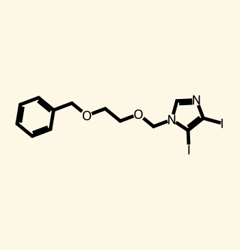 Ic1ncn(COCCOCc2ccccc2)c1I